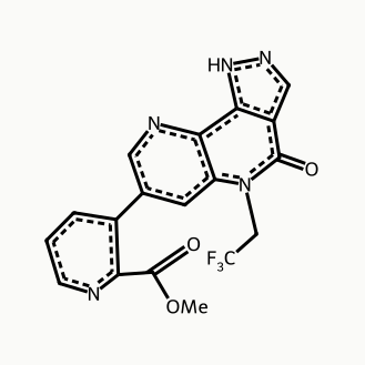 COC(=O)c1ncccc1-c1cnc2c3[nH]ncc3c(=O)n(CC(F)(F)F)c2c1